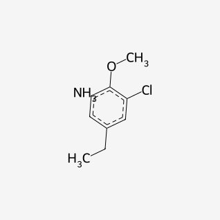 CCc1ccc(OC)c(Cl)c1.N